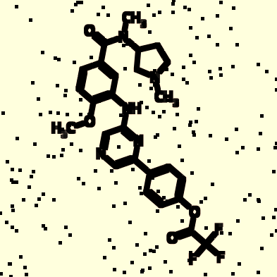 COc1ccc(C(=O)N(C)C2CCN(C)C2)cc1Nc1cncc(-c2ccc(OC(=O)C(F)(F)F)cc2)n1